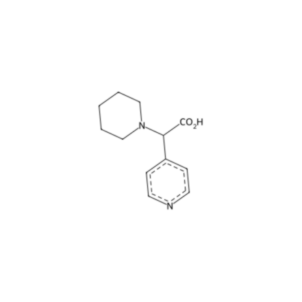 O=C(O)C(c1ccncc1)N1CCCCC1